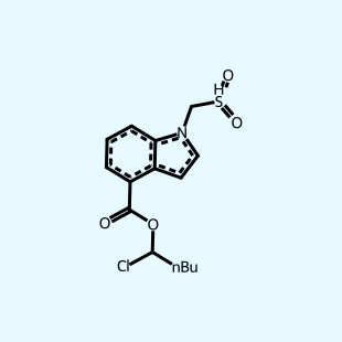 CCCCC(Cl)OC(=O)c1cccc2c1ccn2C[SH](=O)=O